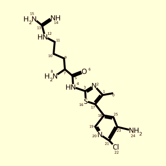 Cc1nc(NC(=O)C(N)CCCNC(=N)N)sc1-c1cnc(Cl)c(N)c1